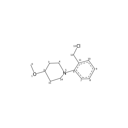 CO[C]1CCN(c2ccccc2CCl)CC1